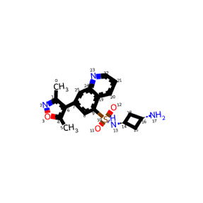 Cc1noc(C)c1-c1cc(S(=O)(=O)N[C@H]2C[C@@H](N)C2)c2cccnc2c1